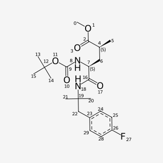 COC(=O)[C@@H](C)C[C@H](NC(=O)OC(C)(C)C)C(=O)NC(C)(C)Cc1ccc(F)cc1